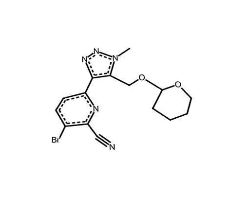 Cn1nnc(-c2ccc(Br)c(C#N)n2)c1COC1CCCCO1